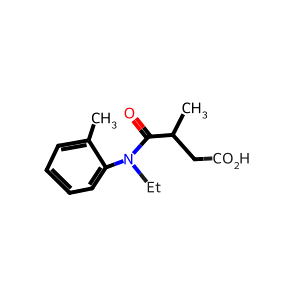 CCN(C(=O)C(C)CC(=O)O)c1ccccc1C